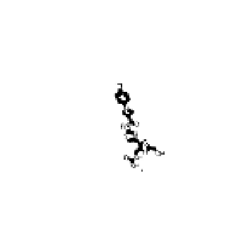 NC(=O)NCc1nc(CO)sc1-c1csc(NC(=O)C2CN(c3ccc(Cl)cc3)C2)n1